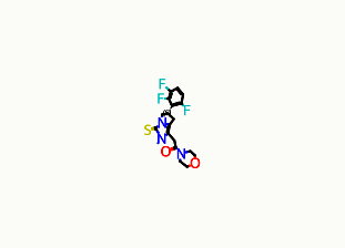 Cn1c(CC(=O)N2CCOCC2)c2n(c1=S)C[C@H](c1c(F)ccc(F)c1F)C2